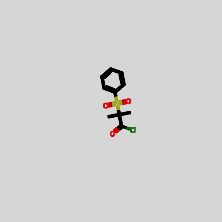 CC(C)(C(=O)Cl)S(=O)(=O)c1ccccc1